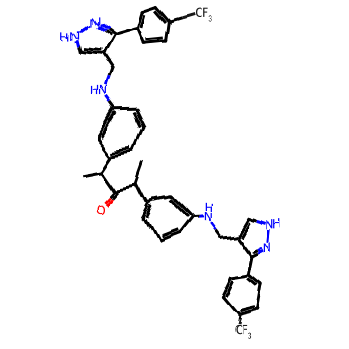 CC(C(=O)C(C)c1cccc(NCc2c[nH]nc2-c2ccc(C(F)(F)F)cc2)c1)c1cccc(NCc2c[nH]nc2-c2ccc(C(F)(F)F)cc2)c1